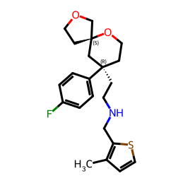 Cc1ccsc1CNCC[C@@]1(c2ccc(F)cc2)CCO[C@]2(CCOC2)C1